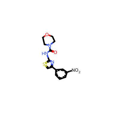 O=C(Nc1nc(-c2cccc([N+](=O)[O-])c2)cs1)N1CCOCC1